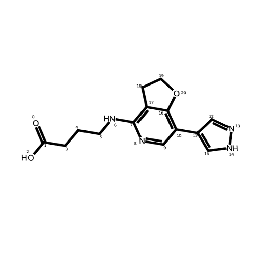 O=C(O)CCCNc1ncc(-c2cn[nH]c2)c2c1CCO2